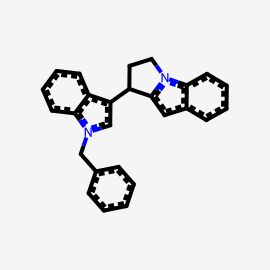 c1ccc(Cn2cc(C3CCn4c3cc3ccccc34)c3ccccc32)cc1